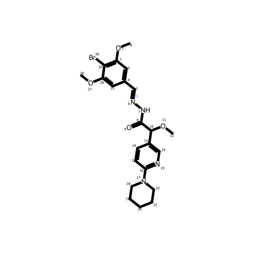 COc1cc(/C=N/NC(=O)C(OC)c2ccc(N3CCCCC3)nc2)cc(OC)c1Br